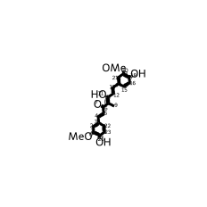 COc1cc(/C=C/C(=O)/C(C)=C(O)/C=C/c2ccc(O)c(OC)c2)ccc1O